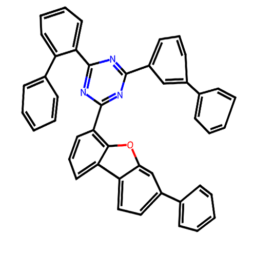 c1ccc(-c2cccc(-c3nc(-c4ccccc4-c4ccccc4)nc(-c4cccc5c4oc4cc(-c6ccccc6)ccc45)n3)c2)cc1